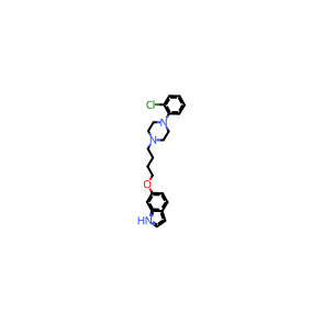 Clc1ccccc1N1CCN(CCCCOc2ccc3cc[nH]c3c2)CC1